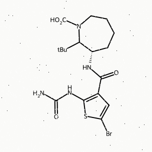 CC(C)(C)C1[C@@H](NC(=O)c2cc(Br)sc2NC(N)=O)CCCCN1C(=O)O